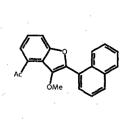 COc1c(-c2cccc3ccccc23)oc2cccc(C(C)=O)c12